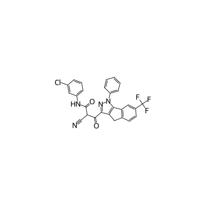 N#CC(C(=O)Nc1cccc(Cl)c1)C(=O)c1nn(-c2ccccc2)c2c1Cc1ccc(C(F)(F)F)cc1-2